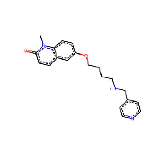 Cn1c(=O)ccc2cc(OCCCCNCc3ccncc3)ccc21